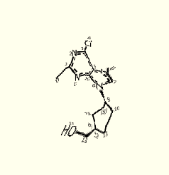 Cc1nc(Cl)c2ncn([C@H]3CC[C@@H](CO)C3)c2n1